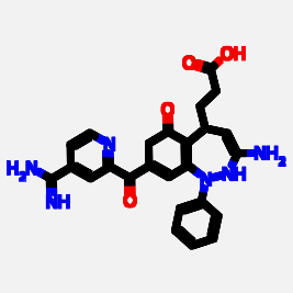 N=C(N)c1ccnc(C(=O)C2=CC3=C(C(=O)C2)C(CCC(=O)O)C=C(N)NN3c2ccccc2)c1